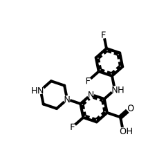 O=C(O)c1cc(F)c(N2CCNCC2)nc1Nc1ccc(F)cc1F